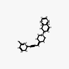 CC1=NC(C#CC=C2CCN(C3C=Cc4nccnc4C3)CC2)CC=C1